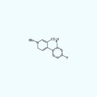 CC(C)(C)N1C=C(C(=O)O)C(c2ccc(F)cc2F)=CC1